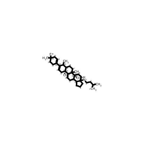 CC(C)CCNC12CCCC1C1CCC3C(C)(CCC4C(C)C(C5=CCC(C)(F)CC5)=CC[C@@]43C)[C@]1(C)CC2